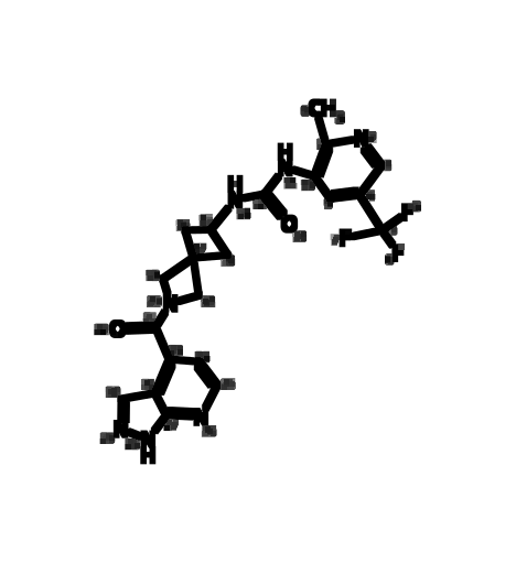 Cc1ncc(C(F)(F)F)cc1NC(=O)NC1CC2(C1)CN(C(=O)c1ccnc3[nH]ncc13)C2